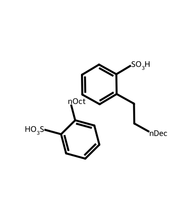 CCCCCCCCCCCCc1ccccc1S(=O)(=O)O.CCCCCCCCc1ccccc1S(=O)(=O)O